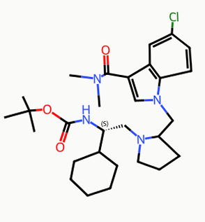 CN(C)C(=O)c1cn(CC2CCCN2C[C@@H](NC(=O)OC(C)(C)C)C2CCCCC2)c2ccc(Cl)cc12